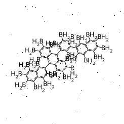 Bc1c(B)c(-c2c(B)c(B)c3c(B)c(B)c(B)c(B)c3c2B)c(B)c(-c2c3c(B)c(B)c(B)c(B)c3c(-c3c(B)c(B)c4c(B)c(B)c(B)c(B)c4c3B)c3c(B)c(B)c(B)c(B)c23)c1B